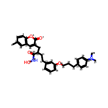 Cc1ccc2oc(=O)c(CC(CCc3cccc(OCCCc4ccc(N(C)C)cc4)c3)C(=O)NO)cc2c1